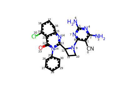 N#Cc1c(N)nc(N)nc1N1CCC1c1nc2cccc(Cl)c2c(=O)n1-c1ccccc1